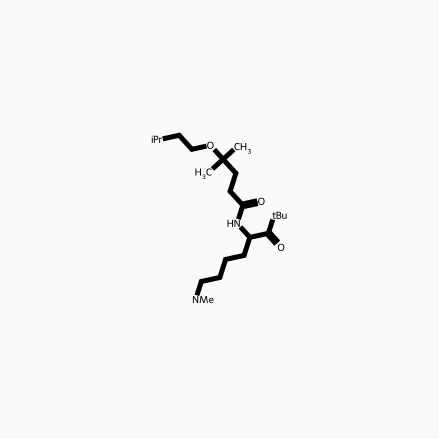 CNCCCCC(NC(=O)CCC(C)(C)OCCC(C)C)C(=O)C(C)(C)C